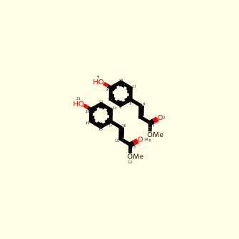 COC(=O)/C=C/c1ccc(O)cc1.COC(=O)C=Cc1ccc(O)cc1